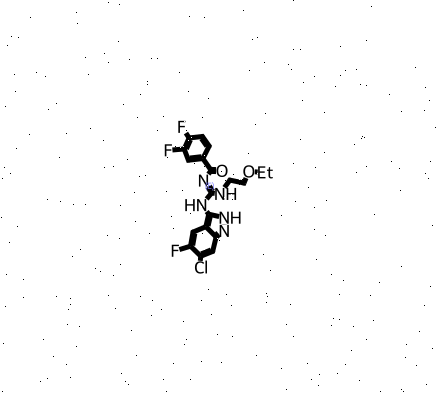 CCOCCN/C(=N\C(=O)c1ccc(F)c(F)c1)Nc1[nH]nc2cc(Cl)c(F)cc12